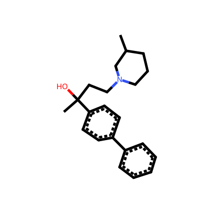 CC1CCCN(CCC(C)(O)c2ccc(-c3ccccc3)cc2)C1